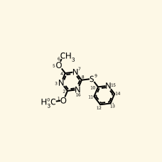 COc1nc(OC)nc(Sc2cc[c]cn2)n1